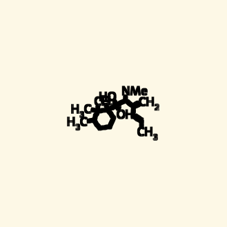 C=C(C=CC)C(NC)C(O)(O)C1(C)CCCC(C)C1(C)C